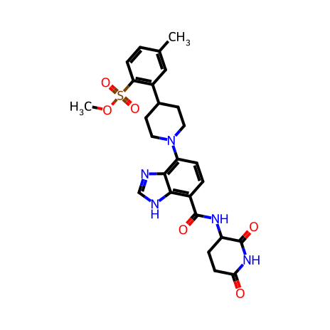 COS(=O)(=O)c1ccc(C)cc1C1CCN(c2ccc(C(=O)NC3CCC(=O)NC3=O)c3[nH]cnc23)CC1